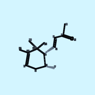 CC(=O)/C=C/[C@@H]1[C@H](C)CC=C(C)C1(C)C